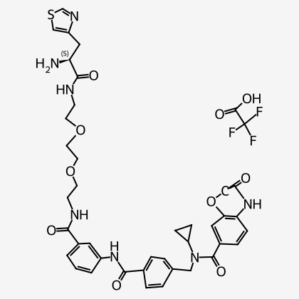 N[C@@H](Cc1cscn1)C(=O)NCCOCCOCCNC(=O)c1cccc(NC(=O)c2ccc(CN(C(=O)c3ccc4c(c3)OCC(=O)N4)C3CC3)cc2)c1.O=C(O)C(F)(F)F